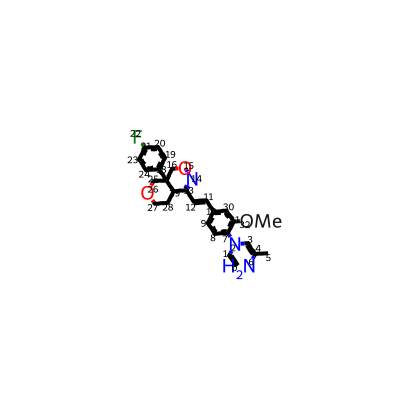 C=CN(/C=C(/C)N)c1ccc(/C=C/C2=NOCC3(c4ccc(F)cc4)COCCC23)cc1OC